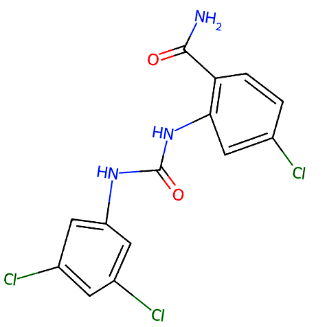 NC(=O)c1ccc(Cl)cc1NC(=O)Nc1cc(Cl)cc(Cl)c1